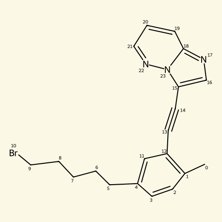 Cc1ccc(CCCCCBr)cc1C#Cc1cnc2cccnn12